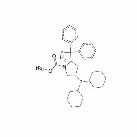 CC(C)(C)OC(=O)N1CC(P(C2CCCCC2)C2CCCCC2)CC1C(P)(c1ccccc1)c1ccccc1